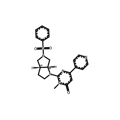 Cn1c(N2CC[C@@H]3CN(S(=O)(=O)c4ccccc4)C[C@@H]32)nc(-c2ccncc2)cc1=O